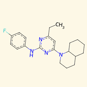 CCc1cc(N2CCCC3CCCCC32)nc(Nc2ccc(F)cc2)n1